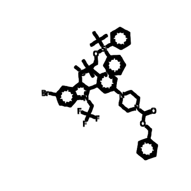 CO[C@@H](C)c1ncc(N2CCN(C(=O)OCc3ccccc3)CC2)cc1-c1c(CC(C)(C)CO[Si](c2ccccc2)(c2ccccc2)C(C)(C)C)c2cc(Br)ccc2n1CC(F)(F)F